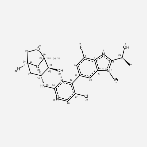 CC(C)n1c([C@H](C)O)nc2c(F)cc(-c3nc(N[C@@H]4C[C@H]5CO[C@H](O5)[C@H]4O)ncc3Cl)cc21